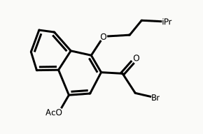 CC(=O)Oc1cc(C(=O)CBr)c(OCCC(C)C)c2ccccc12